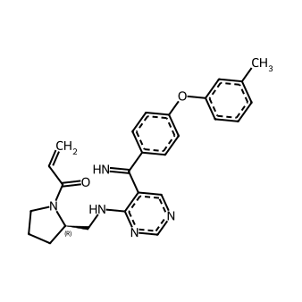 C=CC(=O)N1CCC[C@@H]1CNc1ncncc1C(=N)c1ccc(Oc2cccc(C)c2)cc1